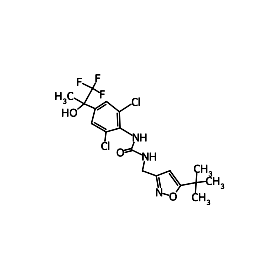 CC(C)(C)c1cc(CNC(=O)Nc2c(Cl)cc(C(C)(O)C(F)(F)F)cc2Cl)no1